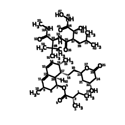 CC[C@H](C)C(=O)O[C@H]1C[C@@H](C)C=C2C=C[C@H](C)[C@H](CC[C@@H]3C[C@@H](O)CC(=O)O3)[C@H]21.CNC(=O)[C@@H](NC(=O)[C@H](CC(C)C)[C@H](O)C(=O)NO)C(C)(C)C